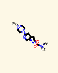 CCN(CC)C(=O)Oc1cc2cc(N3CCN(C(C)C)CC3)ncc2[nH]1